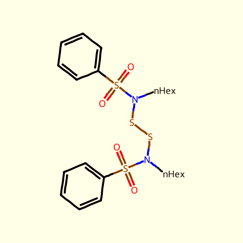 CCCCCCN(SSN(CCCCCC)S(=O)(=O)c1ccccc1)S(=O)(=O)c1ccccc1